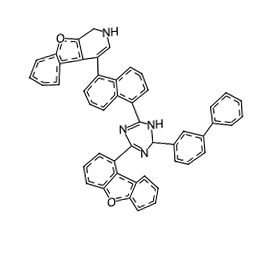 C1=C(c2cccc3c(C4=NC(c5cccc6oc7ccccc7c56)=NC(c5cccc(-c6ccccc6)c5)N4)cccc23)c2c(oc3ccccc23)CN1